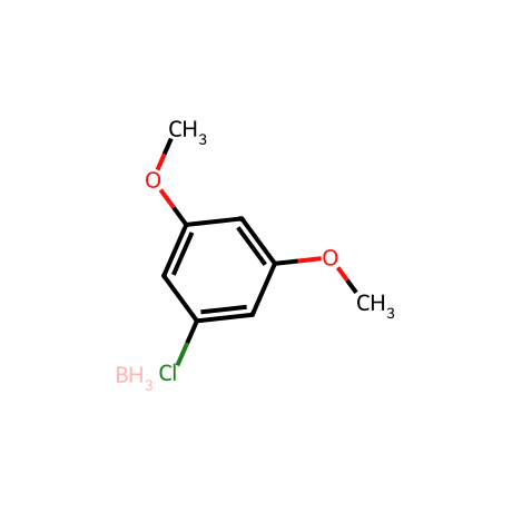 B.COc1cc(Cl)cc(OC)c1